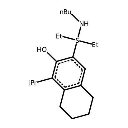 CCCCNS(CC)(CC)c1cc2c(c(C(C)C)c1O)CCCC2